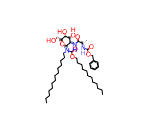 CCCCCCCCCCCCCCN(C(=O)OCCCCCCCCCCCC)[C@@H]1O[C@H](CO)[C@@H](O)[C@H](O)[C@H]1NC(=O)[C@H](C)NC(=O)OCc1ccccc1